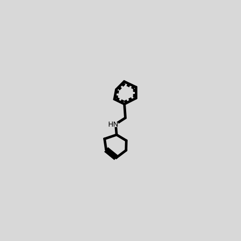 C1#CCC(NCc2ccccc2)CC1